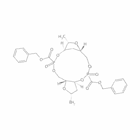 B[C@H]1C[C@@H]2OP(=O)(C(=O)OCc3ccccc3)OC[C@@H]3C[C@@H](OP(=O)(C(=O)OCc4ccccc4)OC[C@H]2O1)[C@H](C)O3